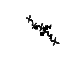 CC(C)(C)CCC(C)(C)OCC(C)(C)NC(=O)CCSCC(C)(C)C